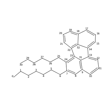 CCCCCCCc1cc2cccc3c4cccc5cccc(c(c1CCCCCC)c23)c54